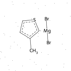 Cc1[c]scc1.[Br][Mg][Br]